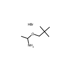 Br.CC(N)OCC(C)(C)C